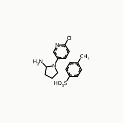 Cc1ccc(S(=O)(=O)O)cc1.NC1CCCN1c1ccc(Cl)nc1